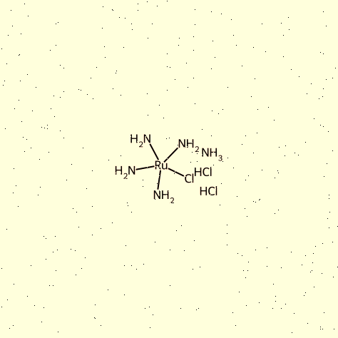 Cl.Cl.N.[NH2][Ru]([NH2])([NH2])([NH2])[Cl]